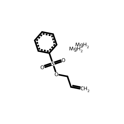 C=CCOS(=O)(=O)c1ccccc1.[MgH2].[MgH2]